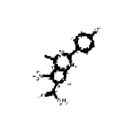 Cc1nc(-c2ccc(Cl)cc2)nc2sc(C(N)=O)c(N)c12